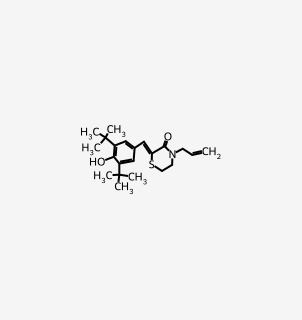 C=CCN1CCSC(=Cc2cc(C(C)(C)C)c(O)c(C(C)(C)C)c2)C1=O